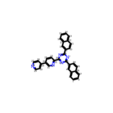 c1ccc2cc(-c3nc(-c4ccc5ccccc5c4)nc(-c4ccc(-c5ccncc5)cn4)n3)ccc2c1